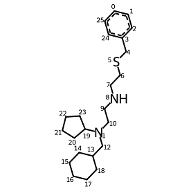 c1ccc(CSCCNCCN(CC2CCCCC2)C2CCCC2)cc1